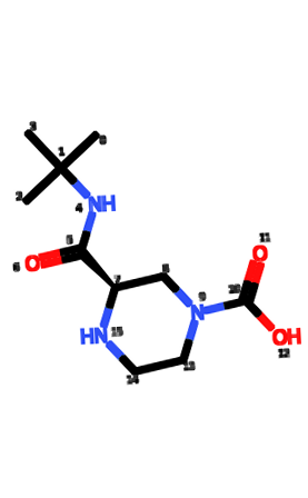 CC(C)(C)NC(=O)[C@H]1CN(C(=O)O)CCN1